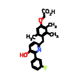 Cc1cc(OCC(=O)O)c(C)c(C)c1Cc1ccc(O)c(-c2cccc(F)c2)n1